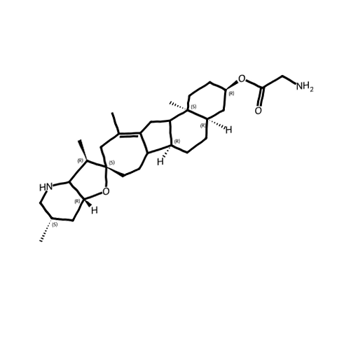 CC1=C2CC3[C@@H](CC[C@@H]4C[C@H](OC(=O)CN)CC[C@]34C)C2CC[C@@]2(C1)O[C@@H]1C[C@H](C)CNC1[C@H]2C